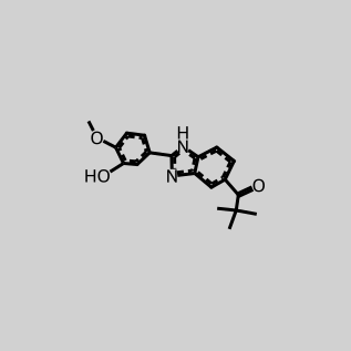 COc1ccc(-c2nc3cc(C(=O)C(C)(C)C)ccc3[nH]2)cc1O